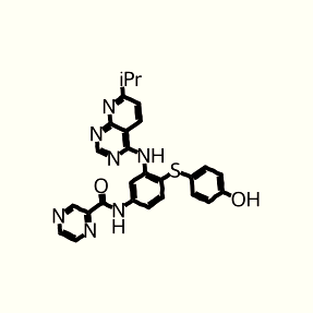 CC(C)c1ccc2c(Nc3cc(NC(=O)c4cnccn4)ccc3Sc3ccc(O)cc3)ncnc2n1